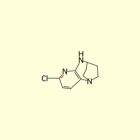 Clc1ccc2c(n1)NC1CCN2CC1